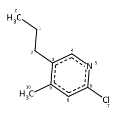 CCCc1cnc(Cl)cc1C